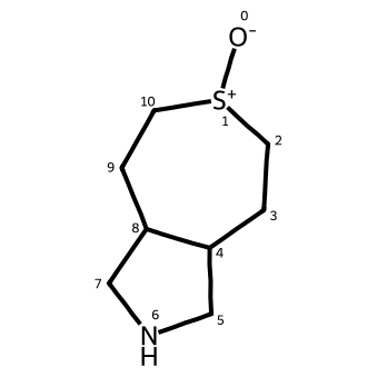 [O-][S+]1CCC2CNCC2CC1